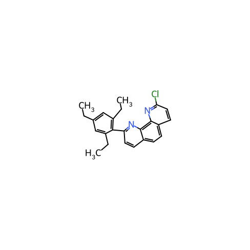 CCc1cc(CC)c(-c2ccc3ccc4ccc(Cl)nc4c3n2)c(CC)c1